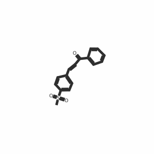 CS(=O)(=O)c1ccc(C=CC(=O)c2ccccc2)cc1